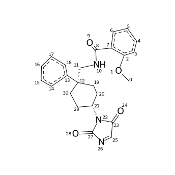 COc1ccccc1C(=O)NC[C@]1(c2ccccc2)CC[C@H](N2C(=O)C=NC2=O)CC1